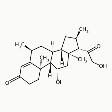 C[C@@H]1C[C@H]2[C@@H]3C[C@H](C)C4=CC(=O)CC[C@]4(C)[C@H]3[C@@H](O)C[C@]2(C)[C@H]1C(=O)CO